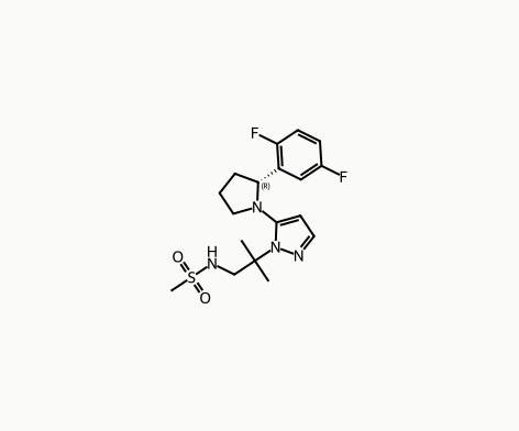 CC(C)(CNS(C)(=O)=O)n1nccc1N1CCC[C@@H]1c1cc(F)ccc1F